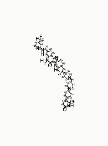 CC(Nc1cc(C(F)(F)F)ccn1)c1ccc(-c2nn3c(c2C(N)=O)Nc2ccc(N4CCN(CC5CCN(c6ccc(N7CCC(=O)NC7=O)cc6)CC5)CC4)cc2CC3)cc1